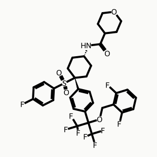 O=C(N[C@H]1CC[C@@](c2ccc(C(OCc3c(F)cccc3F)(C(F)(F)F)C(F)(F)F)cc2)(S(=O)(=O)c2ccc(F)cc2)CC1)C1CCOCC1